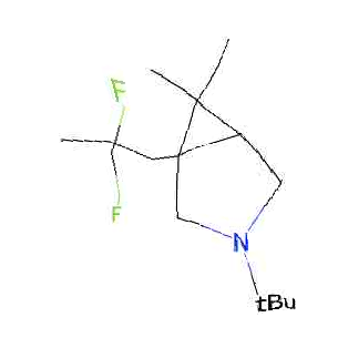 CC(C)(C)N1CC2C(C)(C)C2(C(C)(F)F)C1